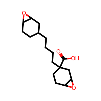 O=C(O)C1(CCCCC2CCC3OC3C2)CCC2OC2C1